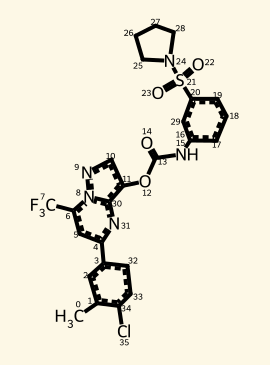 Cc1cc(-c2cc(C(F)(F)F)n3ncc(OC(=O)Nc4cccc(S(=O)(=O)N5CCCC5)c4)c3n2)ccc1Cl